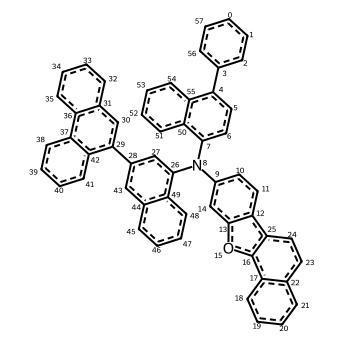 c1ccc(-c2ccc(N(c3ccc4c(c3)oc3c5ccccc5ccc43)c3cc(-c4cc5ccccc5c5ccccc45)cc4ccccc34)c3ccccc23)cc1